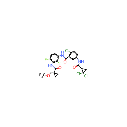 O=C(Nc1ccc(F)c(NC(=O)C2(COC(F)(F)F)CC2)c1F)c1cc(NC(=O)C2CC2(Cl)Cl)ccc1Cl